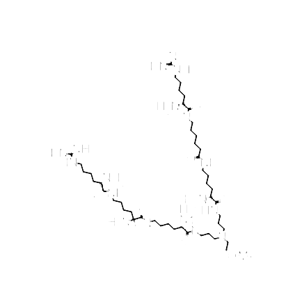 COCCN(CCCNC(=O)[C@@H](N)CCCCNC(=O)CCCCCNC(=O)[C@@H](N)CCCCNC(=N)N)CCCNC(=O)[C@@H](N)CCCCNC(=O)[C@](C)(N)CCCCNC(=O)[C@@H](N)CCCCNC(=N)N